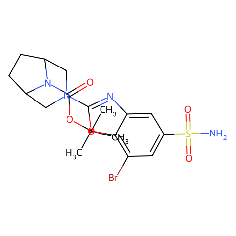 CC(C)(C)OC(=O)N1C2CCC1CN(c1nc3cc(S(N)(=O)=O)cc(Br)c3o1)C2